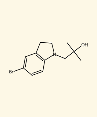 CC(C)(O)CN1CCc2cc(Br)ccc21